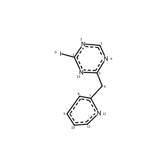 Ic1ncnc(Cc2ccccn2)n1